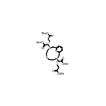 COC(=O)CC[C@@H](C(=O)OC)N1CCOCCN([C@@H](CCC(=O)OC)C(=O)OC)Cc2cccc(n2)C1